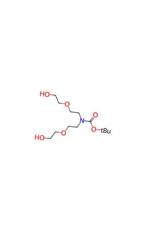 CC(C)(C)OC(=O)N(CCOCCO)CCOCCO